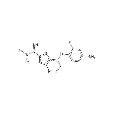 CCN(CC)C(=N)c1cc2nccc(Oc3ccc(N)cc3F)c2s1